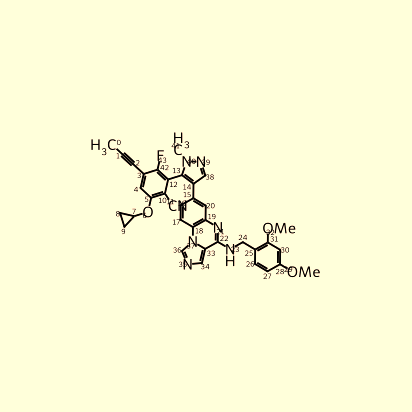 CC#Cc1cc(OC2CC2)c(C#N)c(-c2c(-c3ccc4c(c3)nc(NCc3ccc(OC)cc3OC)c3cncn34)cnn2C)c1F